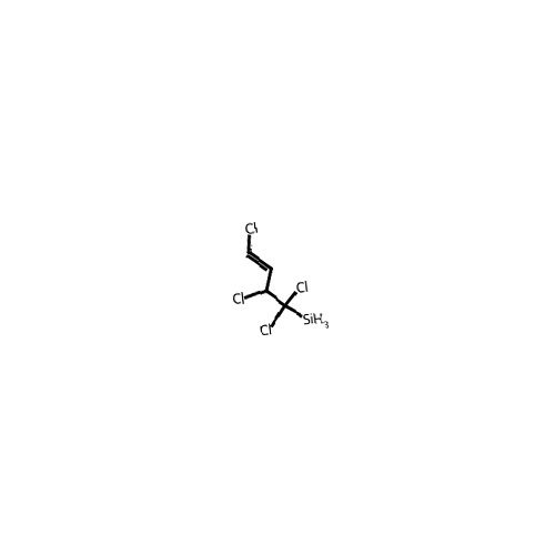 [SiH3]C(Cl)(Cl)C(Cl)C=CCl